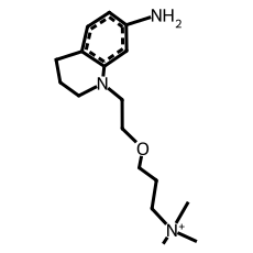 C[N+](C)(C)CCCOCCN1CCCc2ccc(N)cc21